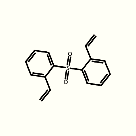 C=Cc1ccccc1S(=O)(=O)c1ccccc1C=C